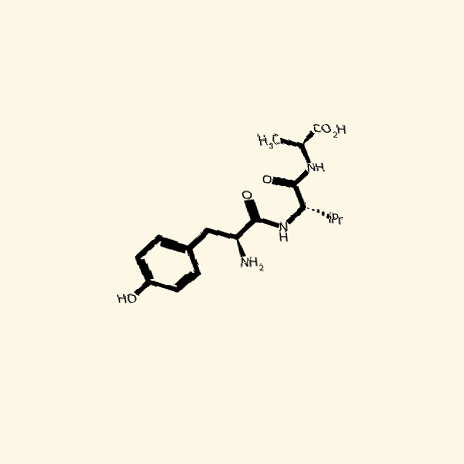 CC(C)[C@H](NC(=O)[C@@H](N)Cc1ccc(O)cc1)C(=O)N[C@@H](C)C(=O)O